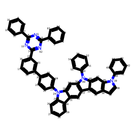 c1ccc(-c2nc(-c3ccccc3)nc(-c3cccc(-c4ccc(-n5c6ccccc6c6cc7c8cc9ccn(-c%10ccccc%10)c9cc8n(-c8ccccc8)c7cc65)cc4)c3)n2)cc1